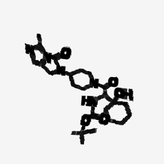 Cc1ncc2n1C(=O)N(C1CCN(C(=O)C(NC(=O)OC(C)(C)C)C3(O)CCCCC3)CC1)C2